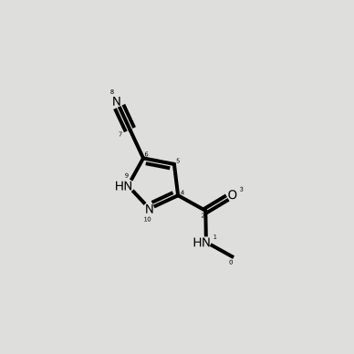 CNC(=O)c1cc(C#N)[nH]n1